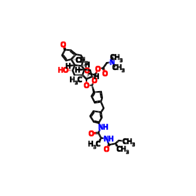 CC[C@@H](C)C(=O)N[C@@H](C)C(=O)Nc1cccc(Cc2ccc([C@@H]3O[C@@H]4C[C@H]5[C@@H]6CCC7=CC(=O)C=C[C@]7(C)[C@H]6[C@@H](O)C[C@]5(C)[C@]4(C(=O)COC(=O)CN(C)C)O3)cc2)c1